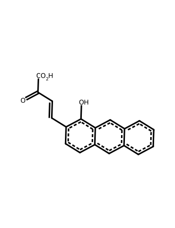 O=C(O)C(=O)C=Cc1ccc2cc3ccccc3cc2c1O